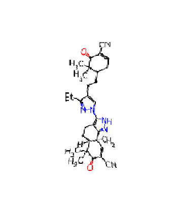 CCc1nn(-c2[nH]nc3c2CC[C@H]2C(C)(C)C(=O)C(C#N)=C[C@]32C)cc1CC[C@@H]1CC=C(C#N)C(=O)C1(C)C